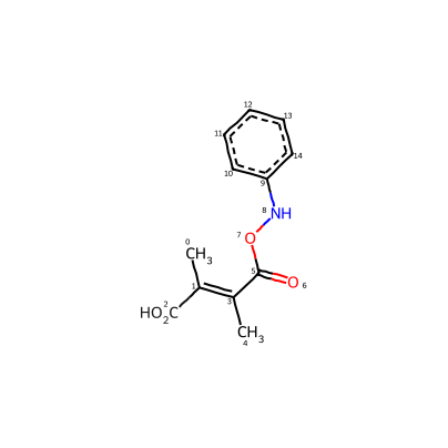 CC(C(=O)O)=C(C)C(=O)ONc1ccccc1